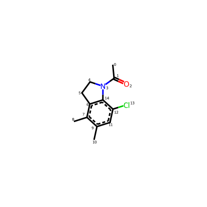 CC(=O)N1CCc2c(C)c(C)cc(Cl)c21